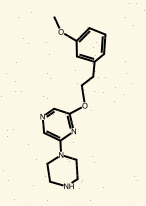 COc1cccc(CCOc2cncc(N3CCNCC3)n2)c1